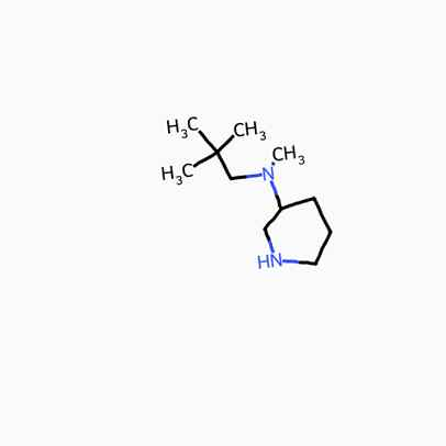 CN(CC(C)(C)C)C1CCCNC1